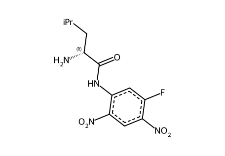 CC(C)C[C@@H](N)C(=O)Nc1cc(F)c([N+](=O)[O-])cc1[N+](=O)[O-]